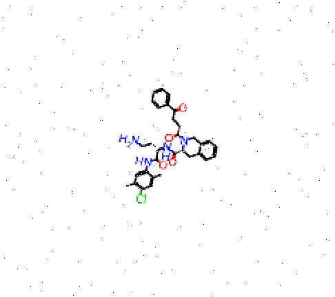 Cc1cc(NC(=O)[C@H](CCN)NC(=O)[C@@H]2Cc3ccccc3CN2C(=O)CCC(=O)c2ccccc2)c(C)cc1Cl